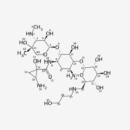 CN[C@@H]1[C@@H](O)[C@@H](O[C@H]2[C@H](NC(=O)C3(O)CC3N)C[C@H](N)C(O[C@H]3O[C@H](CNCCCO)[C@@H](O)[C@H](O)[C@H]3O)[C@@H]2O)OC[C@]1(C)O